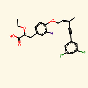 CCO[C@@H](Cc1ccc(OCC=C(C)C#Cc2cc(F)cc(F)c2)c(I)c1)C(=O)O